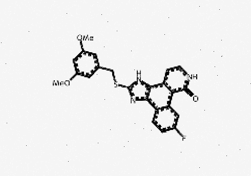 COc1cc(CSc2nc3c4ccc(F)cc4c4c(=O)[nH]ccc4c3[nH]2)cc(OC)c1